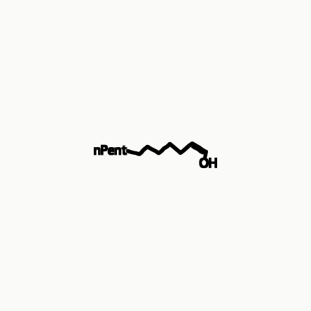 CCCCCCCCCC/C=C\O